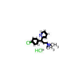 CN(C)CCC(c1ccc(Cl)cc1)c1ccccn1.Cl